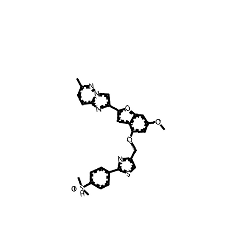 COc1cc(OCc2csc(-c3ccc([SH](C)(C)=O)cc3)n2)c2cc(-c3cn4nc(C)ccc4n3)oc2c1